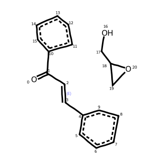 O=C(/C=C/c1ccccc1)c1ccccc1.OCC1CO1